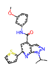 COc1cccc(NC(=O)c2cc(-c3cccs3)nc3c2cnn3C(C)C)c1